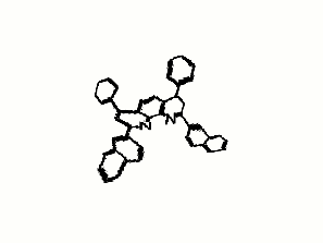 C1=CC(c2cc(-c3ccc4ccccc4c3)nc3c4c(ccc23)C(c2ccccc2)CC(c2ccc3ccccc3c2)=N4)=CCC1